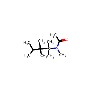 CC(=O)N(C)[Si](C)(C)C(C)(C)C(C)C